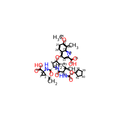 C=C[C@@H]1C[C@]1(NC(=O)[C@@H]1C[C@@H](Oc2cc(C(=O)O)nc3c(C)c(OC)ccc23)CN1C(=O)[C@@H](NC(=O)OC1CCCC1)C(=C)C)C(=O)O